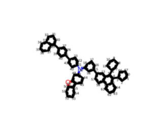 c1ccc(-c2c(-c3ccccc3)c3cc(-c4cccc(N(c5ccc(-c6ccc(-c7cccc8ccccc78)cc6)cc5)c5ccc6c(c5)oc5ccccc56)c4)ccc3c3ccccc23)cc1